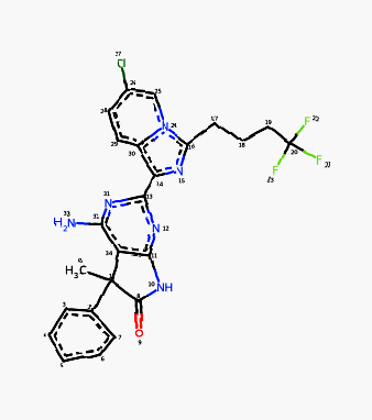 CC1(c2ccccc2)C(=O)Nc2nc(-c3nc(CCCC(F)(F)F)n4cc(Cl)ccc34)nc(N)c21